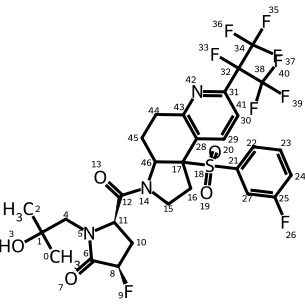 CC(C)(O)CN1C(=O)[C@H](F)C[C@@H]1C(=O)N1CCC2(S(=O)(=O)c3cccc(F)c3)c3ccc(C(F)(C(F)(F)F)C(F)(F)F)nc3CCC12